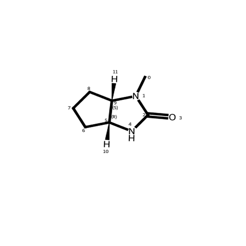 CN1C(=O)N[C@@H]2CCC[C@@H]21